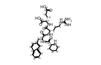 N=C(N)NCCC[C@H](NC(=O)[C@H](Cc1ccc2ccccc2c1)NC(=O)[C@@H]1CCCCN1)C(=O)N[C@@H](CCC(=O)O)C(=O)O